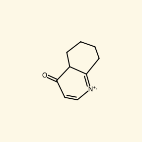 O=C1C=C[N+]=C2CCCCC12